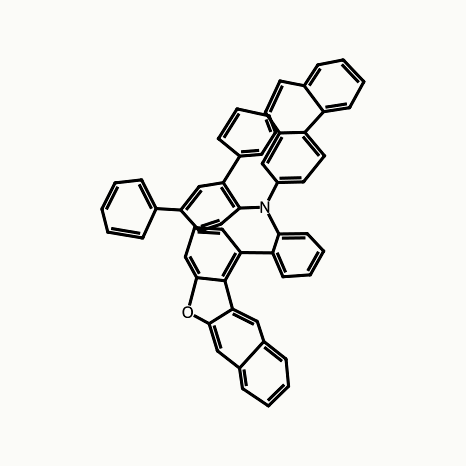 c1ccc(-c2ccc(N(c3ccc4c(ccc5ccccc54)c3)c3ccccc3-c3cccc4oc5cc6ccccc6cc5c34)c(-c3ccccc3)c2)cc1